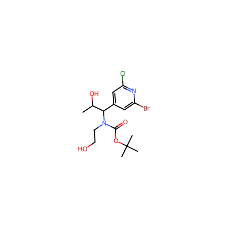 CC(O)C(c1cc(Cl)nc(Br)c1)N(CCO)C(=O)OC(C)(C)C